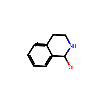 OC1NCCC23CC=CC=C2C=CC=C13